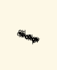 C[C@H]1CN(c2ccc3nc(-c4cc(F)c5nn(C)cc5c4)ncc3c2)C[C@H](C)N1C(=O)O